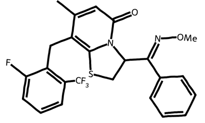 CON=C(c1ccccc1)C1CSc2c(Cc3c(F)cccc3C(F)(F)F)c(C)cc(=O)n21